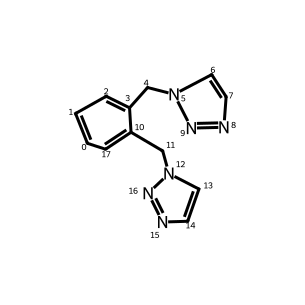 c1ccc(Cn2ccnn2)c(Cn2ccnn2)c1